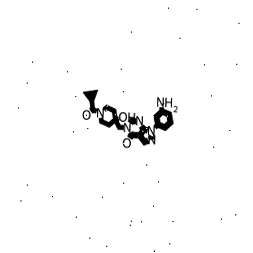 Nc1cccc(-n2ncc3c(=O)n(CC4(O)CCN(C(=O)C5CC5)CC4)cnc32)c1